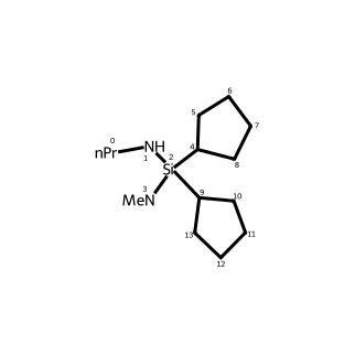 CCCN[Si](NC)(C1CCCC1)C1CCCC1